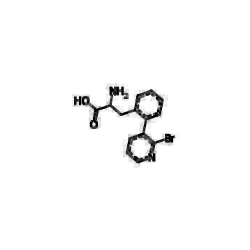 NC(Cc1ccccc1-c1cccnc1Br)C(=O)O